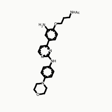 CC(=O)NCCCOc1ccc(-c2ccnc(Nc3ccc(N4CCOCC4)cc3)n2)cc1N